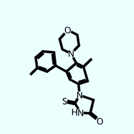 Cc1cccc(-c2cc(N3CC(=O)NC3=S)cc(C)c2N2CCOCC2)c1